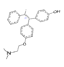 C/C(=C(\c1ccc(O)cc1)c1ccc(OCCN(C)C)cc1)c1ccccc1